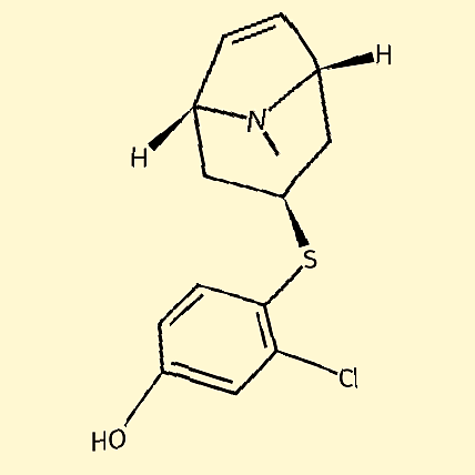 CN1[C@@H]2C=C[C@H]1C[C@H](Sc1ccc(O)cc1Cl)C2